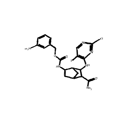 NC(=O)C1C2CC(NC(=O)OCc3cccc(N)c3)C(C2)C1Nc1nc(Cl)ncc1F